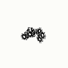 CCC(NC(=O)CSC(c1ccccc1)(c1ccccc1)c1ccccc1)c1ccc(F)c(Oc2ccccc2)c1F